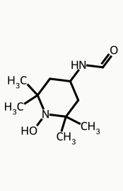 CC1(C)CC(NC=O)CC(C)(C)N1O